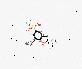 CC1(C)Cc2cc(S(C)(=O)=O)cc(C(=O)O)c2O1